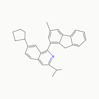 Cc1cc2c(c(-c3nc(C(C)C)cc4ccc(C5CCCC5)cc34)c1)Cc1ccccc1-2